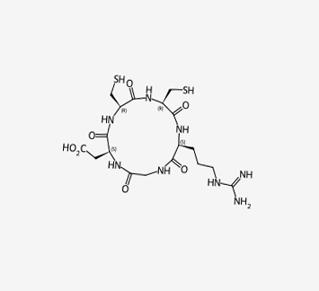 N=C(N)NCCC[C@@H]1NC(=O)[C@H](CS)NC(=O)[C@H](CS)NC(=O)[C@H](CC(=O)O)NC(=O)CNC1=O